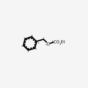 [CH2]COC(=O)OCc1ccccc1